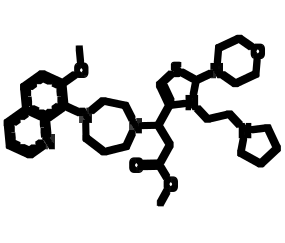 COC(=O)CC(C1=CSC(N2CCOCC2)N1CCN1CCCC1)N1CCCN(c2c(OC)ccc3cccnc23)CC1